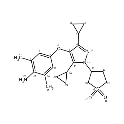 Cc1cc(Oc2c(C3CC3)nn(C3CCS(=O)(=O)C3)c2C2CC2)cc(C)c1N